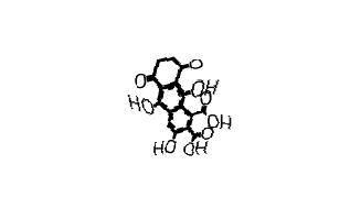 O=C1CCC(=O)c2c1c(O)c1cc(O)c(C(=O)O)c(C(=O)O)c1c2O